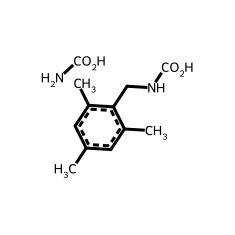 Cc1cc(C)c(CNC(=O)O)c(C)c1.NC(=O)O